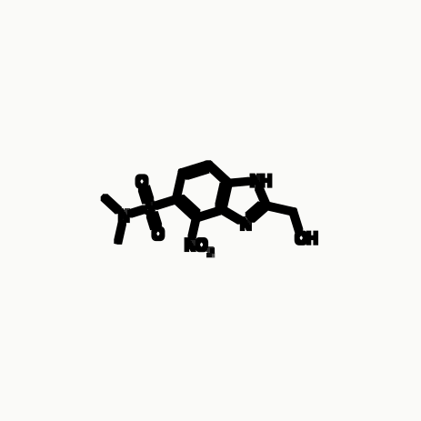 CN(C)S(=O)(=O)c1ccc2[nH]c(CO)nc2c1[N+](=O)[O-]